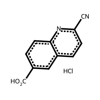 Cl.N#Cc1ccc2cc(C(=O)O)ccc2n1